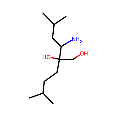 CC(C)CCC(O)(CO)C(N)CC(C)C